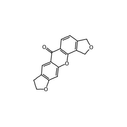 O=c1c2cc3c(cc2oc2c4c(ccc12)COC4)OCC3